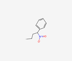 [CH2]CCC(c1ccccc1)[N+](=O)[O-]